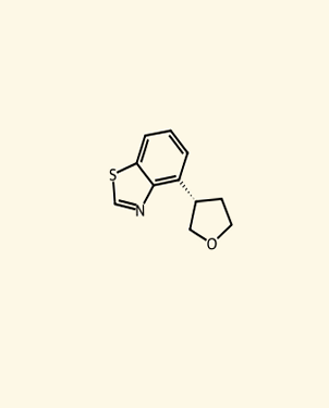 c1cc([C@@H]2CCOC2)c2ncsc2c1